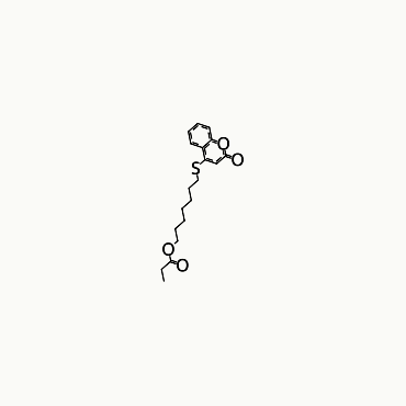 CCC(=O)OCCCCCCCSc1cc(=O)oc2ccccc12